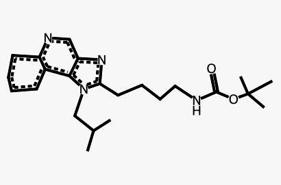 CC(C)Cn1c(CCCCNC(=O)OC(C)(C)C)nc2cnc3ccccc3c21